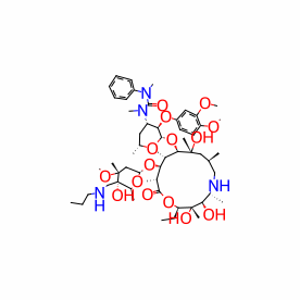 CCCNC[C@]1(O)[C@H](C)O[C@@H](O[C@H]2[C@H](C)[C@@H](O[C@@H]3O[C@H](C)C[C@H](N(C)C(=O)N(C)c4ccccc4)[C@H]3Oc3ccc(OC)c(OC)c3)[C@](C)(O)C[C@@H](C)CN[C@H](C)[C@@H](O)[C@](C)(O)[C@@H](CC)OC(=O)[C@@H]2C)C[C@@]1(C)OC